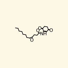 CCCCCCCC1OC1CCC(=O)NC1=CC(=O)CCC1=O